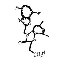 Cc1cc(C)c2c(c1)N(Cc1nc3c(F)ccc(F)c3s1)C(=O)C(CC(=O)O)S2